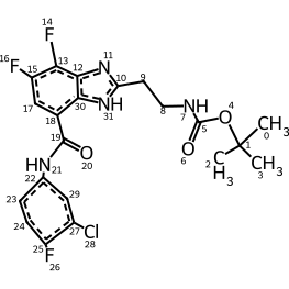 CC(C)(C)OC(=O)NCCc1nc2c(F)c(F)cc(C(=O)Nc3ccc(F)c(Cl)c3)c2[nH]1